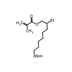 C=C(C)C(=O)OCC(CC)CCCCCCCCCCCCCCC